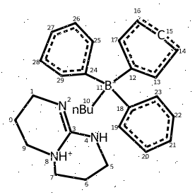 C1CN=C2NCCC[NH+]2C1.CCCC[B-](c1ccccc1)(c1ccccc1)c1ccccc1